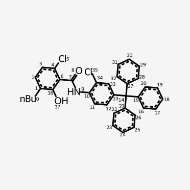 CCCCc1ccc(Cl)c(C(=O)Nc2ccc(C(c3ccccc3)(c3ccccc3)c3ccccc3)cc2Cl)c1O